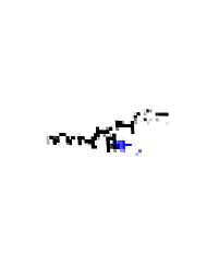 CCCCCCCCCC[SiH](N)CCCCCCCCCC